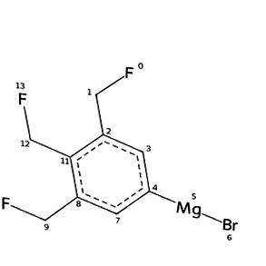 FCc1c[c]([Mg][Br])cc(CF)c1CF